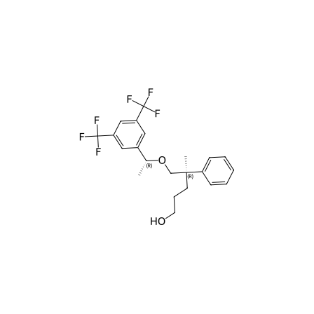 C[C@@H](OC[C@](C)(CCCO)c1ccccc1)c1cc(C(F)(F)F)cc(C(F)(F)F)c1